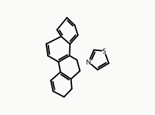 C1=CC2=C(CC1)CCc1c2ccc2ccccc12.c1cscn1